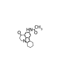 CC(=O)Nc1cc2c3c(c1)c1c(n3CCC2=O)CCCC1